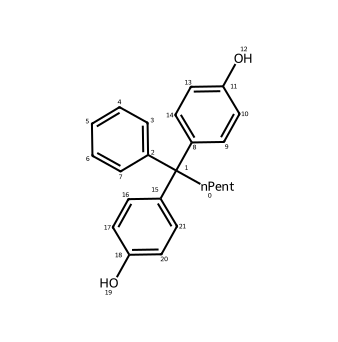 CCCCCC(c1ccccc1)(c1ccc(O)cc1)c1ccc(O)cc1